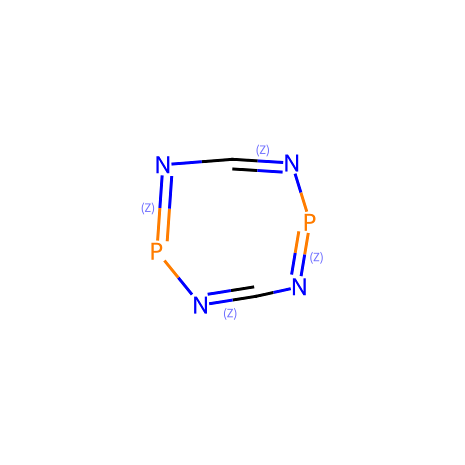 C1=N\P=N/C=N\P=N/1